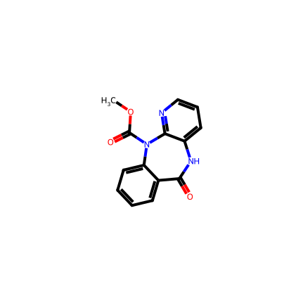 COC(=O)N1c2ccccc2C(=O)Nc2cccnc21